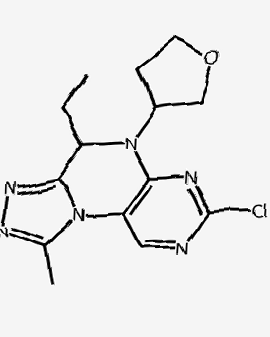 CCC1c2nnc(C)n2-c2cnc(Cl)nc2N1C1CCOC1